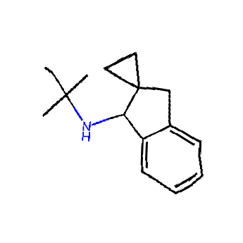 CC(C)(C)NC1c2ccccc2CC12CC2